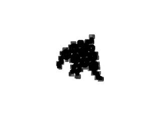 CCCCc1ccc(-c2cccc(-c3ccc(-c4cccc(-c5ccc(CCCC)cc5)c4-c4ccc(CCCC)cc4)c4c3C(=O)C(CCC)C4=O)c2-c2ccc(CCCC)cc2)cc1